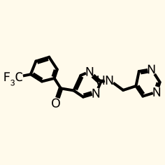 O=C(c1cnc(NCc2cncnc2)nc1)c1cccc(C(F)(F)F)c1